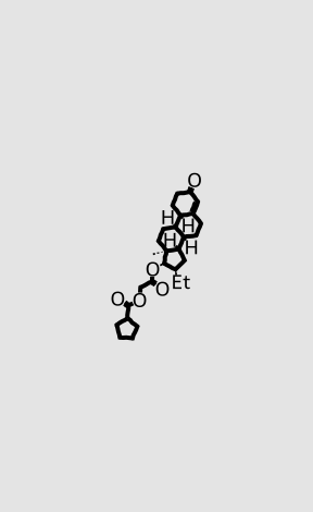 CC[C@H]1C[C@H]2[C@@H]3CCC4=CC(=O)CC[C@@H]4[C@H]3CC[C@]2(C)[C@H]1OC(=O)COC(=O)C1CCCC1